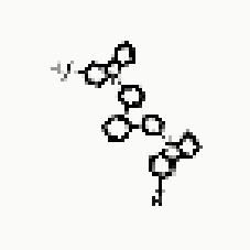 Cc1ccc2c(c1)c1ccccc1n2-c1cccc(-c2ccccc2-c2cccc(-n3c4ccccc4c4cc(C#N)ccc43)c2)c1